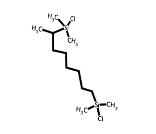 CC(CCCCCC[Si](C)(C)Cl)[Si](C)(C)Cl